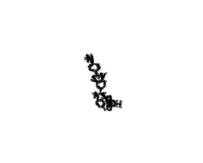 Cc1ccc2c(c1S(=O)(=O)O)SC(c1ccc3c(c1)SC(c1ccc(N(C)C)cc1)N3C)N2C